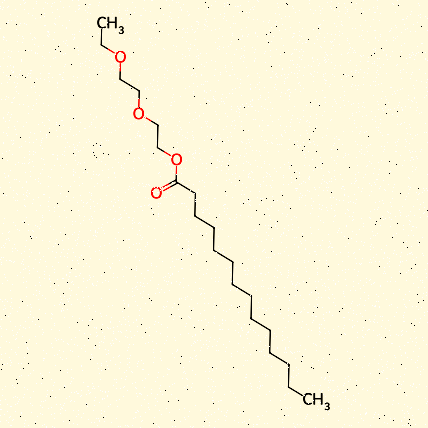 CCCCCCCCCCCCCC(=O)OCCOCCOCC